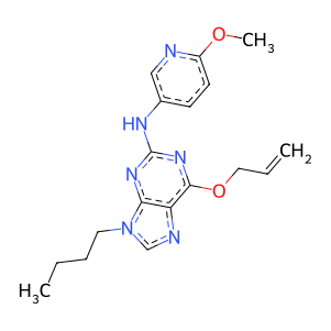 C=CCOc1nc(Nc2ccc(OC)nc2)nc2c1ncn2CCCC